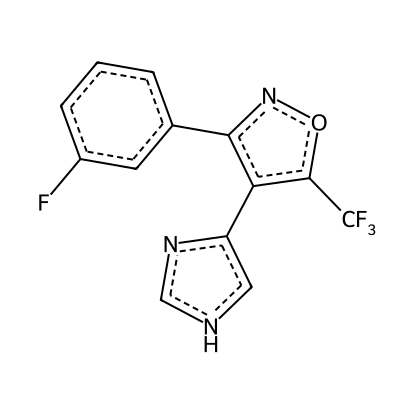 Fc1cccc(-c2noc(C(F)(F)F)c2-c2c[nH]cn2)c1